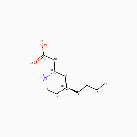 CCCC[C@@H](CC)C[C@H](N)CC(=O)O